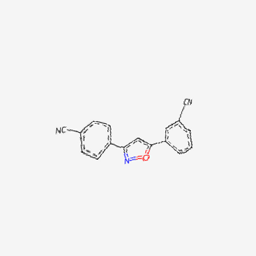 N#Cc1ccc(-c2cc(-c3cccc(C#N)c3)on2)cc1